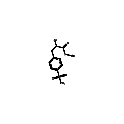 CC(=O)C(Cc1ccc(S(C)(=O)=O)cc1)C(=O)SC(C)(C)C